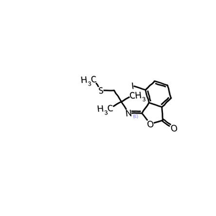 CSCC(C)(C)/N=C1/OC(=O)c2cccc(I)c21